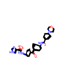 O=C(Nc1ccc(C(=O)c2ccc(NC(=O)c3c[nH]cn3)cc2)cc1)c1ccc(N2CCOCC2)cc1